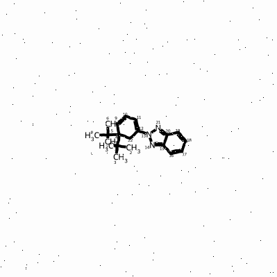 CC(C)(C)C1(C(C)(C)C)C=CC=C(n2nc3ccccc3n2)C1